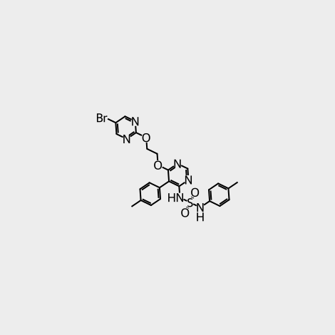 Cc1ccc(NS(=O)(=O)Nc2ncnc(OCCOc3ncc(Br)cn3)c2-c2ccc(C)cc2)cc1